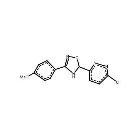 COc1ccc(C2=NOC(c3ccc(Cl)nn3)N2)cc1